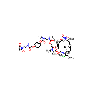 COc1cc2cc(c1Cl)N(C)C(=O)C[C@H](OC(=O)[C@H](C)N(C)C(=O)CCOC(=O)N(C)CCN(C)C(=O)OC1/C=C/CC(OCC(=O)NCCN3C(=O)C=CC3=O)CCC1)[C@]1(C)C[C@H]1[C@H](C)[C@@H]1C[C@@](O)(NC(=O)O1)[C@H](OC)/C=C/C=C(\C)C2